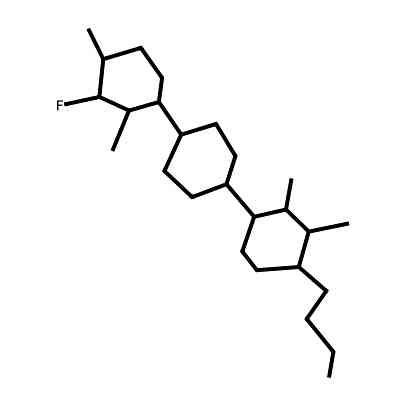 CCCCC1CCC(C2CCC(C3CCC(C)C(F)C3C)CC2)C(C)C1C